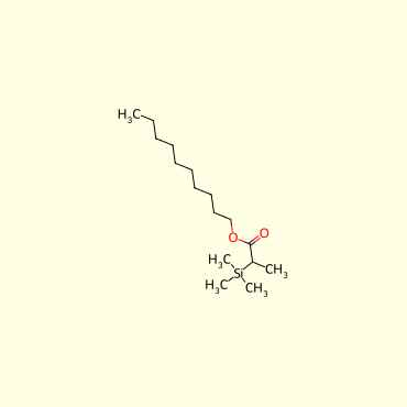 CCCCCCCCCCOC(=O)C(C)[Si](C)(C)C